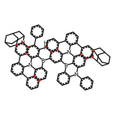 c1ccc(-c2cccc(-c3ccccc3)c2N2c3cc4c(cc3B3c5ccccc5N(c5ccccc5)c5cc(N6C7CC8CC(C7)CC6C8)cc2c53)B2c3ccccc3N(c3c(-c5ccccc5)cccc3-c3ccccc3)c3cc(N5C6CC7CC(C6)CC5C7)c(-c5ccccc5)c(c32)N4)cc1